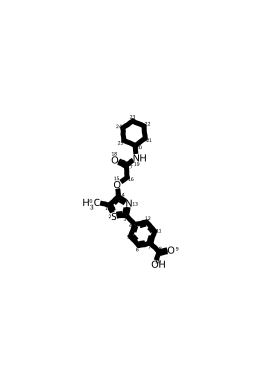 Cc1sc(-c2ccc(C(=O)O)cc2)nc1OCC(=O)NC1CCCCC1